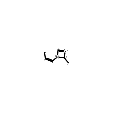 C/C=C\N1C=NC1C